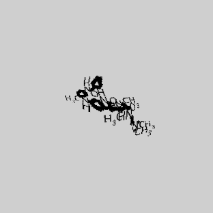 CCN(CC)CCNC(=O)c1c(C)[nH]c(C=C2C(=O)Nc3cc(Nc4cc(NC(=O)c5ccccc5)ccc4C)ccc32)c1C